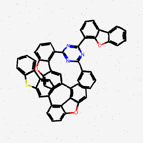 c1ccc(-c2nc(-c3cccc4c3oc3ccccc34)nc(-c3cccc4oc5ccc(-c6cccc7oc8cccc(-c9ccc%10c(c9)sc9ccccc9%10)c8c67)cc5c34)n2)cc1